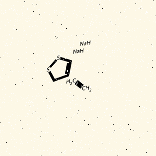 C1=CSSC1.C=C.[NaH].[NaH]